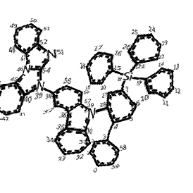 c1ccc(-c2ccc([Si](c3ccccc3)(c3ccccc3)c3ccccc3)cc2-n2c3ccccc3c3cc(-n4c5ccccc5n5c6ccccc6nc45)ccc32)cc1